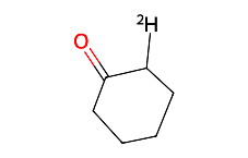 [2H]C1CCCCC1=O